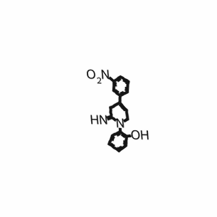 N=C1CC(c2cccc([N+](=O)[O-])c2)=CCN1c1ccccc1O